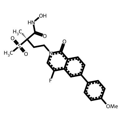 COc1ccc(-c2ccc3c(=O)n(CC[C@](C)(C(=O)NO)S(C)(=O)=O)cc(F)c3c2)cc1